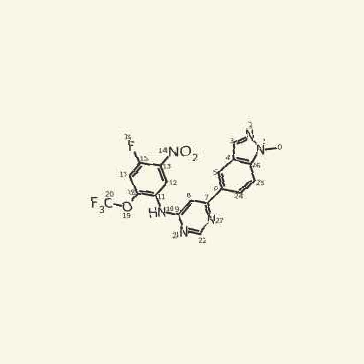 Cn1ncc2cc(-c3cc(Nc4cc([N+](=O)[O-])c(F)cc4OC(F)(F)F)ncn3)ccc21